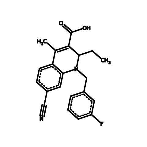 CCC1C(C(=O)O)=C(C)c2ccc(C#N)cc2N1Cc1cccc(F)c1